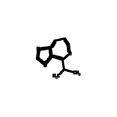 CC(C)C1=c2ocnc2=CC=C=N1